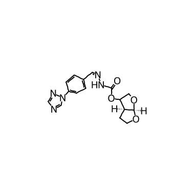 O=C(N/N=C\c1ccc(-n2cncn2)cc1)OC1CO[C@H]2OCC[C@@H]12